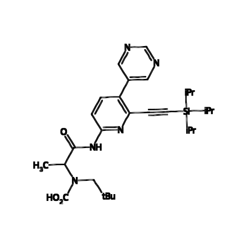 CC(C(=O)Nc1ccc(-c2cncnc2)c(C#C[Si](C(C)C)(C(C)C)C(C)C)n1)N(CC(C)(C)C)C(=O)O